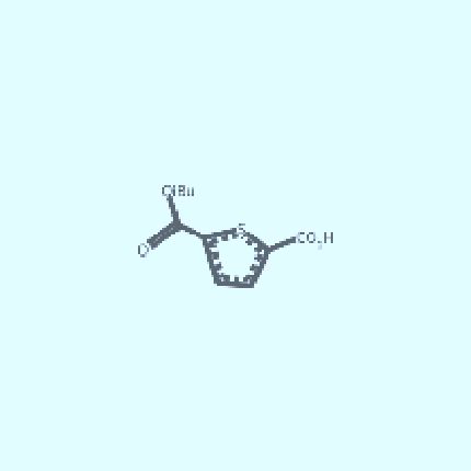 CC(C)COC(=O)c1ccc(C(=O)O)s1